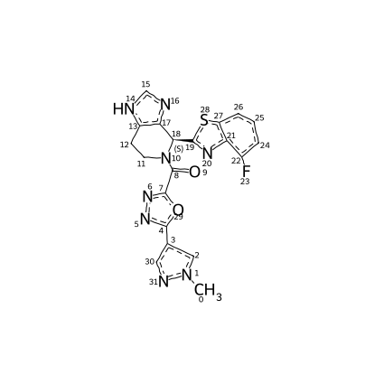 Cn1cc(-c2nnc(C(=O)N3CCc4[nH]cnc4[C@H]3c3nc4c(F)cccc4s3)o2)cn1